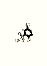 CCc1ccc(S)c(S(N)(=O)=O)c1